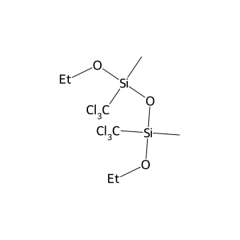 CCO[Si](C)(O[Si](C)(OCC)C(Cl)(Cl)Cl)C(Cl)(Cl)Cl